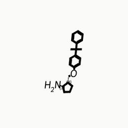 CC(C)(c1ccccc1)c1ccc(OC[C@@H]2CCC[C@@H]2N)cc1